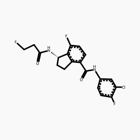 O=C(CCF)N[C@H]1CCc2c(C(=O)Nc3ccc(F)c(Cl)c3)ccc(F)c21